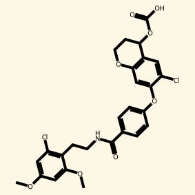 COc1cc(Cl)c(CCNC(=O)c2ccc(Oc3cc4c(cc3Cl)C(OC(=O)O)CCO4)cc2)c(OC)c1